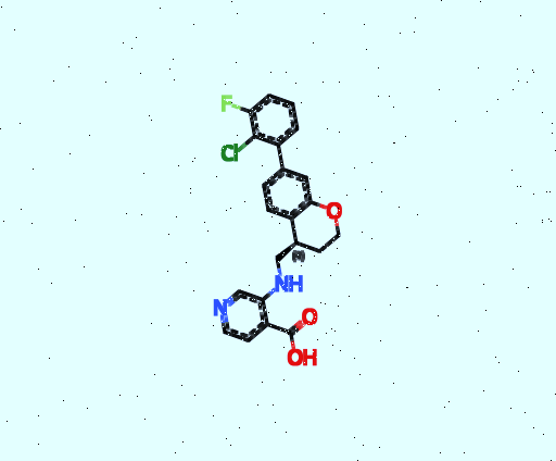 O=C(O)c1ccncc1NC[C@@H]1CCOc2cc(-c3cccc(F)c3Cl)ccc21